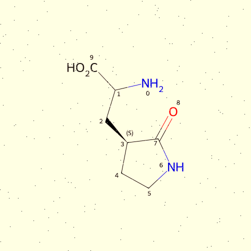 NC(C[C@@H]1CCNC1=O)C(=O)O